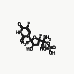 BC(B)(OP(=O)(O)O)[C@]1(F)C[C@@H](O)[C@](B)(n2cc(F)c(=O)[nH]c2=O)O1